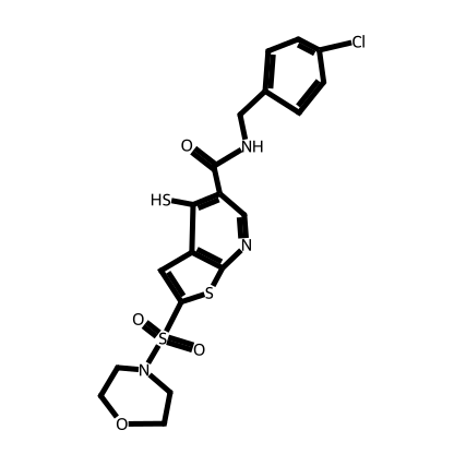 O=C(NCc1ccc(Cl)cc1)c1cnc2sc(S(=O)(=O)N3CCOCC3)cc2c1S